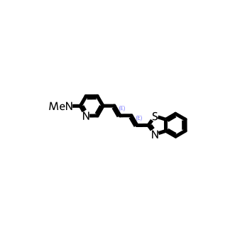 CNc1ccc(/C=C/C=C/c2nc3ccccc3s2)cn1